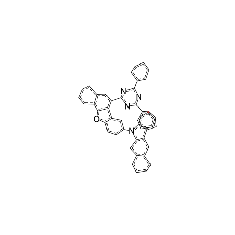 c1ccc(-c2nc(-c3ccccc3)nc(-c3cc4ccccc4c4oc5ccc(-n6c7ccccc7c7cc8ccccc8cc76)cc5c34)n2)cc1